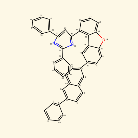 c1ccc(-c2ccc3cc(-c4ccc5oc6cccc(-c7cc(-c8ccccc8)nc(-c8ccccc8)n7)c6c5c4)ccc3c2)cc1